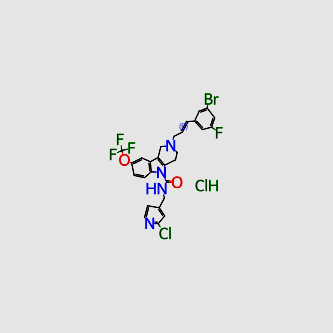 Cl.O=C(NCc1ccnc(Cl)c1)n1c2c(c3cc(OC(F)(F)F)ccc31)CN(C/C=C/c1cc(F)cc(Br)c1)CC2